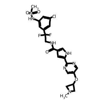 CN1CC(Oc2cnc(-c3cc(C(=O)NCC(F)(F)c4cc(Cl)cc(NS(C)(=O)=O)c4)c[nH]3)nc2)C1